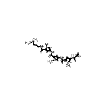 CN(C)CCCNC(=O)c1cc(NC(=O)c2cc(NC(=O)c3cc(NC(=O)C4CO4)cn3C)cn2C)cn1C